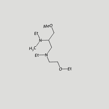 CCOCCN(CC)CC(COC)N(C)CC